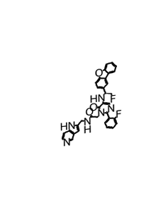 O=C(Cn1c(-c2ccccc2F)ncc(N[C@H](CF)c2ccc3oc4ccccc4c3c2)c1=O)NCc1cc2cnccc2[nH]1